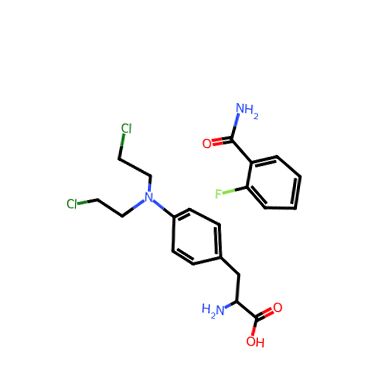 NC(=O)c1ccccc1F.NC(Cc1ccc(N(CCCl)CCCl)cc1)C(=O)O